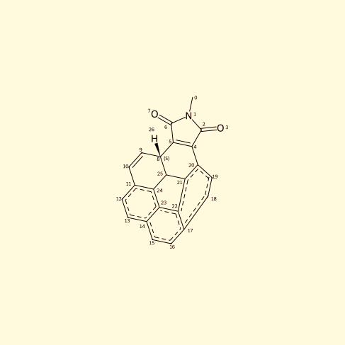 CN1C(=O)C2=C(C1=O)[C@H]1C=Cc3ccc4ccc5ccc2c2c5c4c3C21